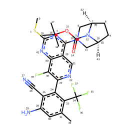 CSc1nc(N2C[C@H]3CC[C@@H](C2)N3C(=O)OC(C)(C)C)c2cnc(-c3c(C#N)c(N)cc(C)c3C(F)(F)F)c(F)c2n1